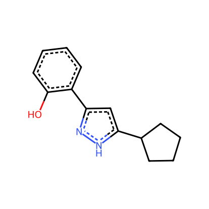 Oc1ccccc1-c1cc(C2CCCC2)[nH]n1